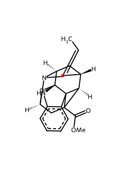 C/C=C1\CN2[C@H]3C[C@@H]1[C@H]1C4(C(=O)OC)C[C@H]2O[C@]32Nc3ccccc3C142